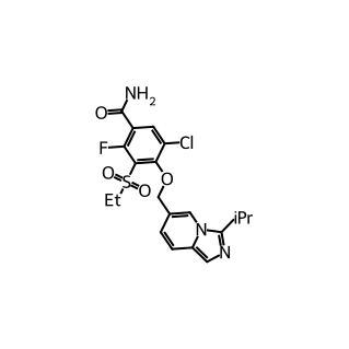 CCS(=O)(=O)c1c(F)c(C(N)=O)cc(Cl)c1OCc1ccc2cnc(C(C)C)n2c1